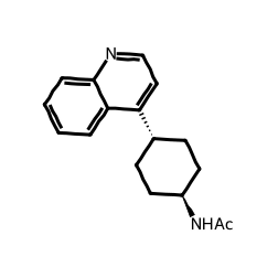 CC(=O)N[C@H]1CC[C@H](c2ccnc3ccccc32)CC1